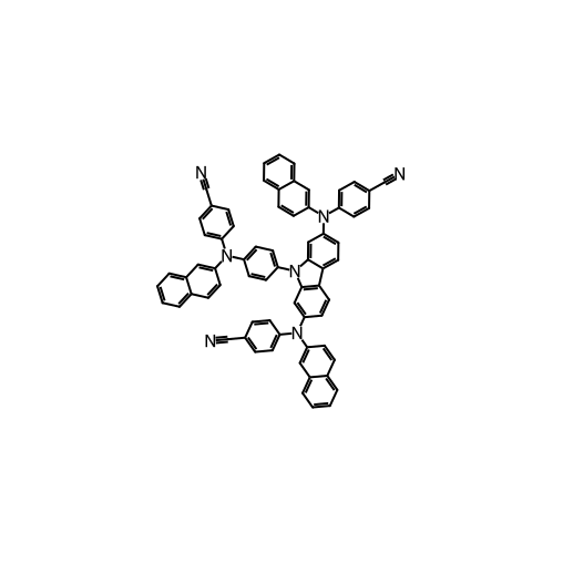 N#Cc1ccc(N(c2ccc(-n3c4cc(N(c5ccc(C#N)cc5)c5ccc6ccccc6c5)ccc4c4ccc(N(c5ccc(C#N)cc5)c5ccc6ccccc6c5)cc43)cc2)c2ccc3ccccc3c2)cc1